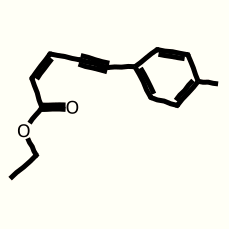 CCOC(=O)/C=C\C#Cc1ccc(C)cc1